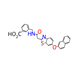 O=C(CC1=NC2C=CC(Oc3ccc4ccccc4c3)=CC2S1)NCc1cccc(C(=O)O)c1